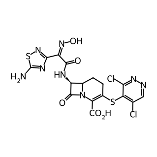 Nc1nc(/C(=N/O)C(=O)N[C@@H]2C(=O)N3C(C(=O)O)=C(Sc4c(Cl)cnnc4Cl)CCC23)ns1